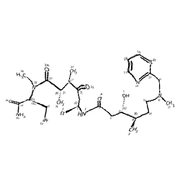 CC[C@H](NC(=O)C[C@H](O)[C@H](C)CCN(C)Cc1ncccn1)C(=O)N(C)[C@H](C)C(=O)N(C)[C@@H](CC(C)C)C(N)=O